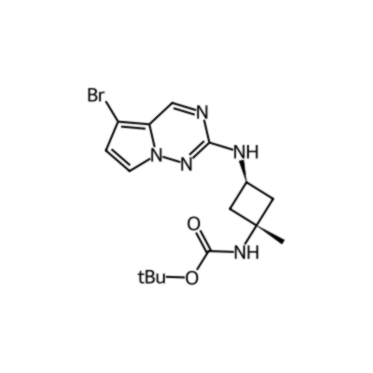 CC(C)(C)OC(=O)N[C@]1(C)C[C@@H](Nc2ncc3c(Br)ccn3n2)C1